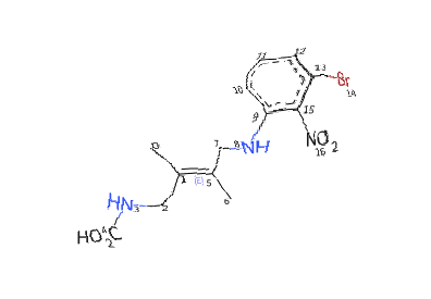 C/C(CNC(=O)O)=C(/C)CNc1cccc(Br)c1[N+](=O)[O-]